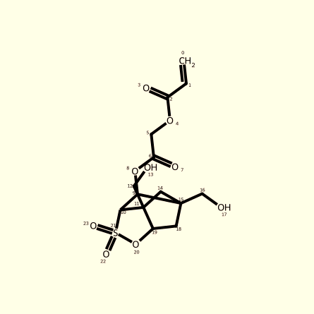 C=CC(=O)OCC(=O)OC1C2C3(CO)CC1(CO)CC3OS2(=O)=O